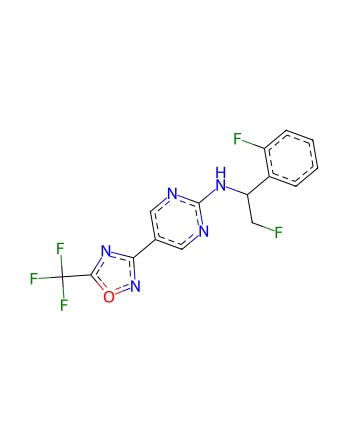 FCC(Nc1ncc(-c2noc(C(F)(F)F)n2)cn1)c1ccccc1F